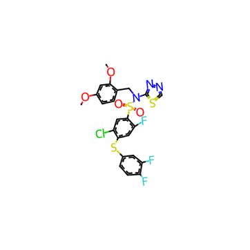 COc1ccc(CN(c2nncs2)S(=O)(=O)c2cc(Cl)c(Sc3ccc(F)c(F)c3)cc2F)c(OC)c1